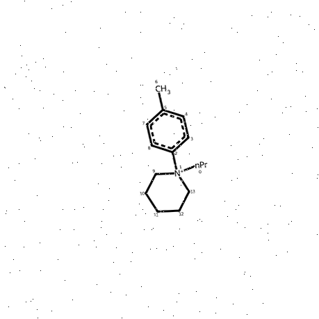 CCC[N+]1(c2ccc(C)cc2)CCCCC1